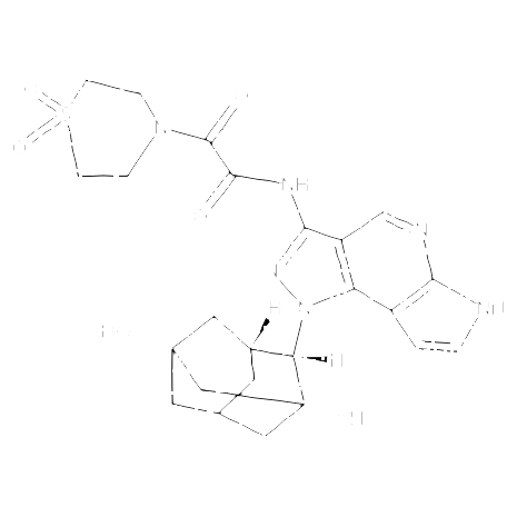 O=C(Nc1nn([C@H]2[C@@H]3CC4C[C@H]2C[C@@](O)(C4)C3)c2c1cnc1[nH]ccc12)C(=O)N1CCS(=O)(=O)CC1